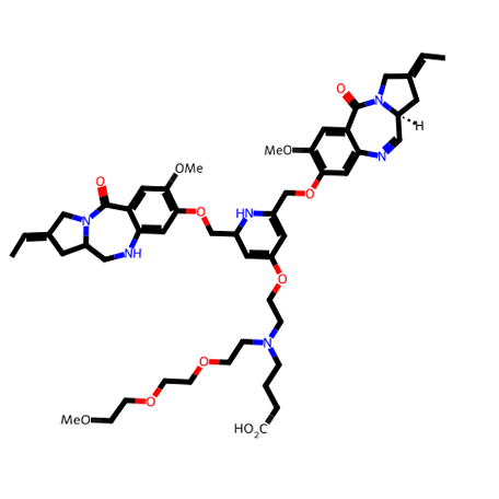 C/C=C1\CC2CNc3cc(OCC4C=C(OCCN(CCCC(=O)O)CCOCCOCCOC)C=C(COc5cc6c(cc5OC)C(=O)N5C/C(=C/C)C[C@H]5C=N6)N4)c(OC)cc3C(=O)N2C1